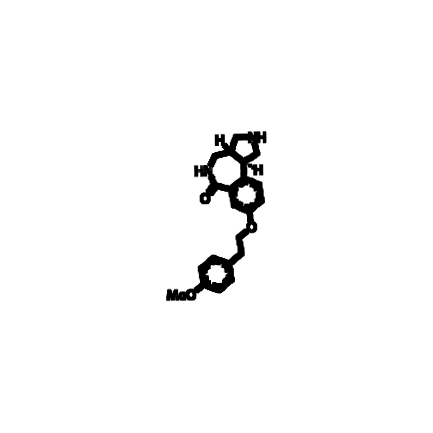 COc1ccc(CCOc2ccc3c(c2)C(=O)NC[C@@H]2CNC[C@@H]32)cc1